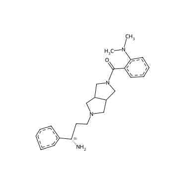 CN(C)c1ccccc1C(=O)N1CC2CN(CC[C@H](N)c3ccccc3)CC2C1